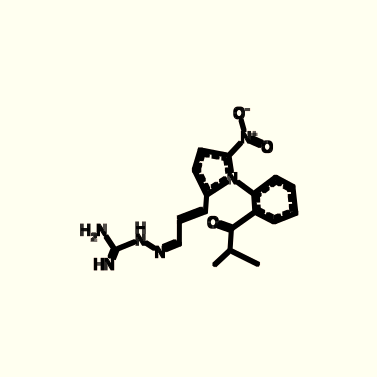 CC(C)C(=O)c1ccccc1-n1c(/C=C/C=N\NC(=N)N)ccc1[N+](=O)[O-]